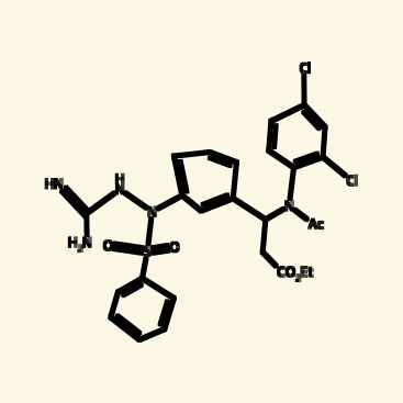 CCOC(=O)CC(c1cccc(N(NC(=N)N)S(=O)(=O)c2ccccc2)c1)N(C(C)=O)c1ccc(Cl)cc1Cl